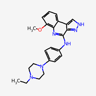 CCN1CCN(c2ccc(Nc3nc4c(OC)cccc4c4c[nH]nc34)cc2)CC1